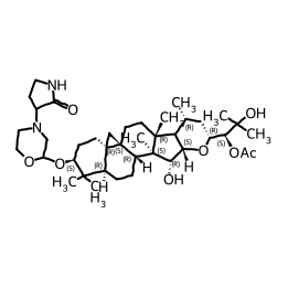 CC(=O)O[C@@H]([C@H]1C[C@@H](C)C2[C@H](O1)[C@H](O)[C@@]1(C)[C@@H]3CC[C@H]4C(C)(C)[C@@H](OC5CN(C6CCNC6=O)CCO5)CC[C@@]45C[C@@]35CC[C@]21C)C(C)(C)O